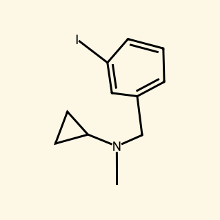 CN(Cc1cccc(I)c1)C1CC1